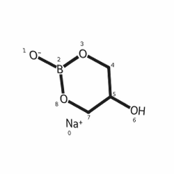 [Na+].[O-]B1OCC(O)CO1